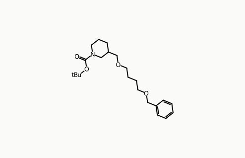 CC(C)(C)OC(=O)N1CCCC(COCCCCOCc2ccccc2)C1